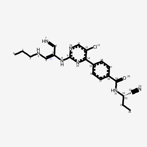 CCCN/C=C(\C=N)Nc1ncc(Cl)c(-c2ccc(C(=O)N[C@H](C#N)CC)cc2)n1